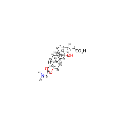 C[C@H](CCC(=O)O)[C@H]1CC[C@H]2[C@@H]3CC[C@@H]4C[C@H](OC(=O)CN(C)C)CC[C@]4(C)[C@H]3C[C@H](O)[C@]12C